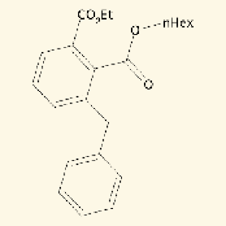 CCCCCCOC(=O)c1c(Cc2ccccc2)cccc1C(=O)OCC